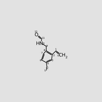 C=Cc1cc(F)ccc1CNC=O